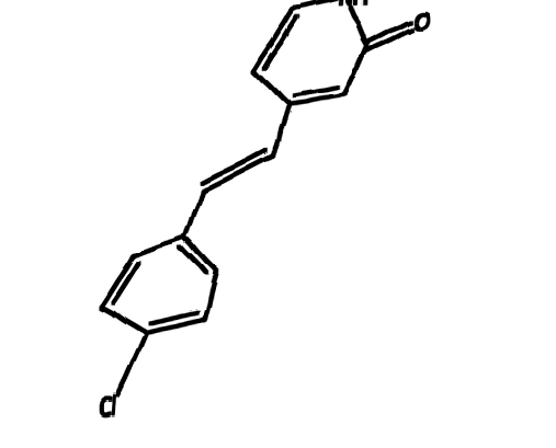 O=c1cc(C=Cc2ccc(Cl)cc2)cc[nH]1